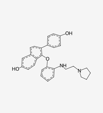 Oc1ccc(-c2ccc3cc(O)ccc3c2Oc2ccccc2NCCN2CCCC2)cc1